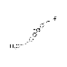 CCCCCCCC[C@H]1CC[C@H](c2ccc(-c3ccc([C@H]4CC[C@H](CCCCCCCF)CC4)cc3F)cc2)CC1